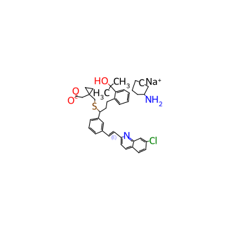 CC(C)(O)c1ccccc1CCC(SCC1(CC(=O)[O-])CC1)c1cccc(/C=C/c2ccc3ccc(Cl)cc3n2)c1.NC1CCCCC1.[Na+]